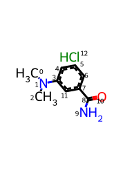 CN(C)c1cccc(C(N)=O)c1.Cl